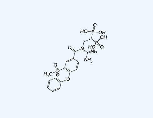 CS(=O)(=O)c1cc(C(=O)N(CC(P(=O)(O)O)P(=O)(O)O)C(=N)N)ccc1Oc1ccccc1